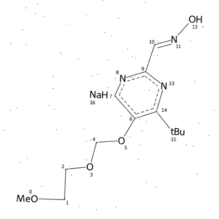 COCCOCOc1cnc(C=NO)nc1C(C)(C)C.[NaH]